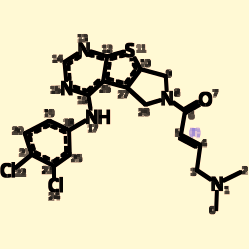 CN(C)C/C=C/C(=O)N1Cc2sc3ncnc(Nc4ccc(Cl)c(Cl)c4)c3c2C1